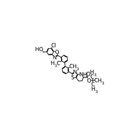 Cc1c(-c2nc3cc(CO)cc(Cl)c3o2)cccc1-c1cccc(-c2nc3c(s2)CCC(C(=O)OC(C)(C)C)N3)c1C